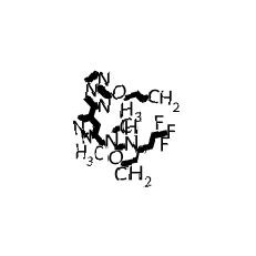 C=CCCOc1nc(-c2cnnc(C(C)N(CC)C(=O)N[C@H](CC=C)CCC(F)(F)F)c2)cn2ccnc12